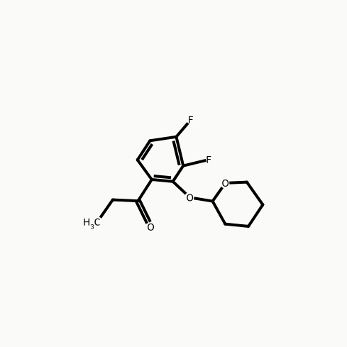 CCC(=O)c1ccc(F)c(F)c1OC1CCCCO1